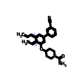 C=C/C=c1/cc(-c2cccc(C#N)c2)cc(OC2CCN(C(N)=O)CC2)/c1=C/N